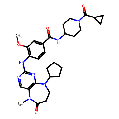 COc1cc(C(=O)NC2CCN(C(=O)C3CC3)CC2)ccc1Nc1ncc2c(n1)N(C1CCCC1)CCC(=O)N2C